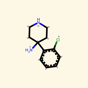 NC1(c2ccccc2Cl)CCNCC1